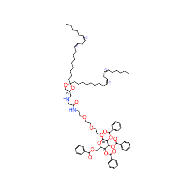 CCCCC/C=C\C/C=C\CCCCCCCCC1(CCCCCCCC/C=C\C/C=C\CCCCC)OC[C@H](CN(C)CC(=O)NCCOCCOCCO[C@@H]2OC(COC(=O)c3ccccc3)[C@@H](OC(=O)c3ccccc3)C(OC(=O)c3ccccc3)C2OC(=O)c2ccccc2)O1